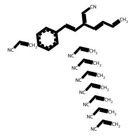 C=CC#N.C=CC#N.C=CC#N.C=CC#N.C=CC#N.C=CC#N.C=CC#N.C=CC#N.C=CC=CC(C=Cc1ccccc1)=CC#N